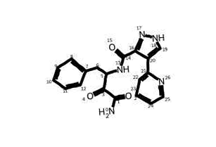 NC(=O)C(=O)C(Cc1ccccc1)NC(=O)c1n[nH]cc1-c1ccccn1